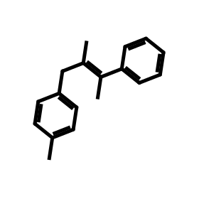 CC(Cc1ccc(C)cc1)=C(C)c1ccccc1